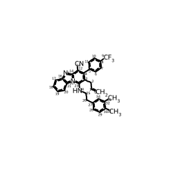 C=CCc1c(-c2ccc(C(F)(F)F)cc2)c(C#N)c2nc3ccccc3n2c1NCCc1ccc(C)c(C)c1